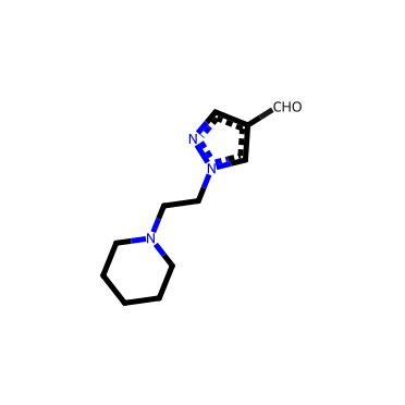 O=Cc1cnn(CCN2CCCCC2)c1